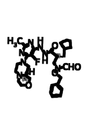 Cc1nc(NNC(=O)[C@H](CC2CCCC2)CN(C=O)OCc2ccccc2)c(F)c(N2CCN3CCOC[C@@H]3C2)n1